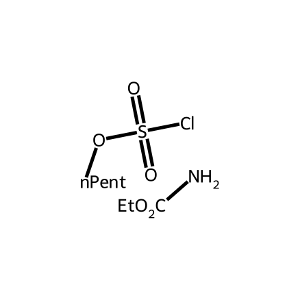 CCCCCOS(=O)(=O)Cl.CCOC(N)=O